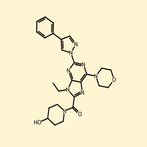 CCn1c(C(=O)N2CCC(O)CC2)nc2c(N3CCOCC3)nc(-n3cc(-c4ccccc4)cn3)nc21